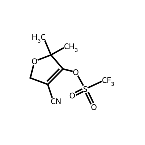 CC1(C)OCC(C#N)=C1OS(=O)(=O)C(F)(F)F